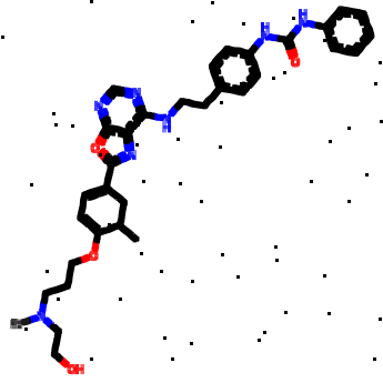 CCN(CCO)CCCOC1=CC=C(c2nc3c(NCCc4ccc(NC(=O)Nc5ccccc5)cc4)ncnc3o2)CC1C